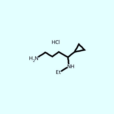 CCNC(CCCN)C1CC1.Cl